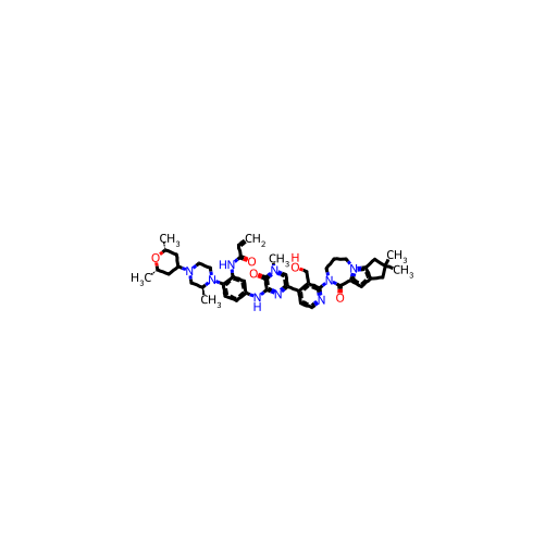 C=CC(=O)Nc1cc(Nc2nc(-c3ccnc(N4CCCn5c(cc6c5CC(C)(C)C6)C4=O)c3CO)cn(C)c2=O)ccc1N1CCN(C2C[C@@H](C)O[C@@H](C)C2)C[C@@H]1C